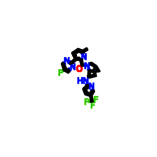 Cc1ccc(-c2ncc(F)cn2)c(C(=O)N2CC3CC34CC(Nc3ccc(C(F)(F)F)cn3)C24)n1